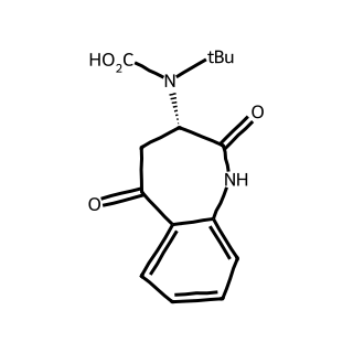 CC(C)(C)N(C(=O)O)[C@H]1CC(=O)c2ccccc2NC1=O